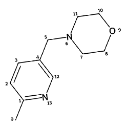 Cc1ccc(CN2CCOCC2)cn1